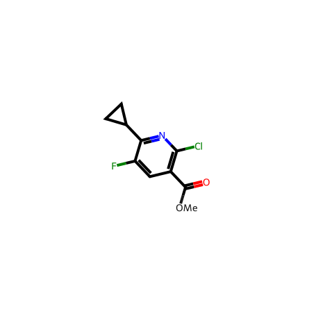 COC(=O)c1cc(F)c(C2CC2)nc1Cl